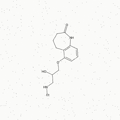 CCNCC(O)COc1cccc2c1CCCC(=O)N2